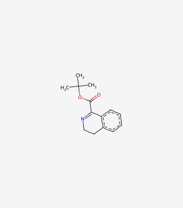 CC(C)(C)OC(=O)C1=NCCc2ccccc21